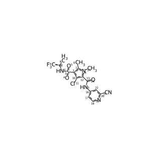 Cc1c(S(=O)(=O)N[C@H](C)C(F)(F)F)c(Cl)c(C(=O)Nc2ccnc(C#N)c2)n1C